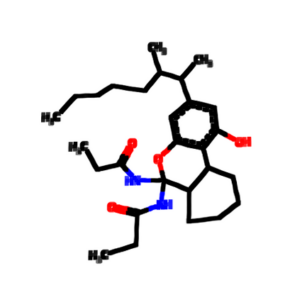 CCCCCC(C)C(C)c1cc(O)c2c(c1)OC(NC(=O)CC)(NC(=O)CC)C1CCCCC21